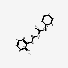 O=C(NC1CCCCC1)OCCC1=CC=CCC1=O